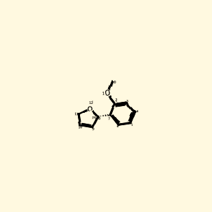 COc1ccccc1[C@@H]1C=CCO1